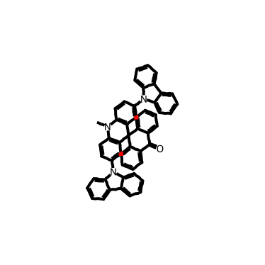 CN1c2ccc(-n3c4ccccc4c4ccccc43)cc2C2(c3ccccc3C(=O)c3ccccc32)c2cc(-n3c4ccccc4c4ccccc43)ccc21